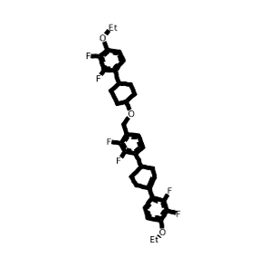 CCOc1ccc(C2=CCC(c3ccc(COC4CCC(c5ccc(OCC)c(F)c5F)CC4)c(F)c3F)CC2)c(F)c1F